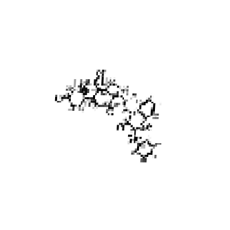 C[C@H](CCC(=O)C([Se]c1ccccc1)[Se]c1ccccc1)[C@H]1CC[C@H]2[C@@H]3C(=O)C[C@@H]4CC(=O)CC[C@]4(C)[C@H]3CC(=O)[C@]12C